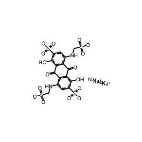 O=C1c2c(NCS(=O)(=O)[O-])cc(S(=O)(=O)[O-])c(O)c2C(=O)c2c(NCS(=O)(=O)[O-])cc(S(=O)(=O)[O-])c(O)c21.[Na+].[Na+].[Na+].[Na+]